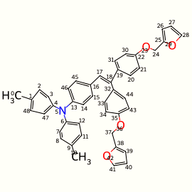 Cc1ccc(N(c2ccc(C)cc2)c2ccc(C=C(c3ccc(OCc4ccco4)cc3)c3ccc(OCc4ccco4)cc3)cc2)cc1